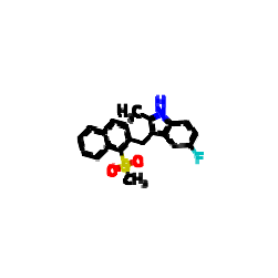 Cc1[nH]c2ccc(F)cc2c1Cc1ccc2ccccc2c1S(C)(=O)=O